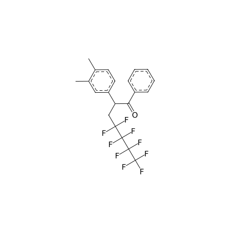 Cc1ccc(C(CC(F)(F)C(F)(F)C(F)(F)C(F)(F)F)C(=O)c2ccccc2)cc1C